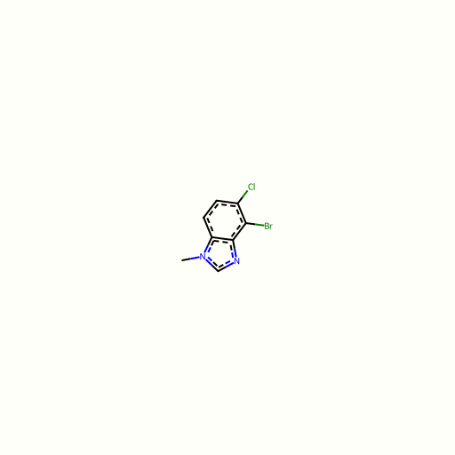 Cn1cnc2c(Br)c(Cl)ccc21